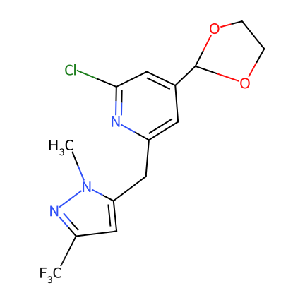 Cn1nc(C(F)(F)F)cc1Cc1cc(C2OCCO2)cc(Cl)n1